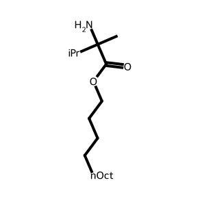 CCCCCCCCCCCCOC(=O)C(C)(N)C(C)C